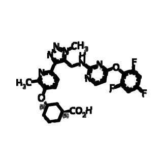 Cc1nc(-c2nnn(C)c2CNc2nccc(Oc3c(F)cc(F)cc3F)n2)ccc1O[C@H]1CCC[C@H](C(=O)O)C1